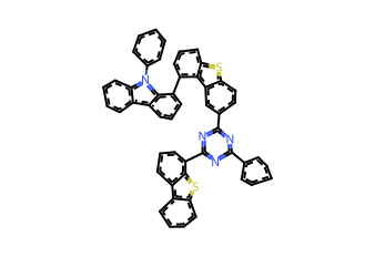 c1ccc(-c2nc(-c3ccc4sc5cccc(-c6cccc7c8ccccc8n(-c8ccccc8)c67)c5c4c3)nc(-c3cccc4c3sc3ccccc34)n2)cc1